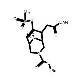 COC(=O)CC1C(OS(=O)(=O)C(F)(F)F)=CC2CN(C(=O)OC(C)(C)C)CC1N2C